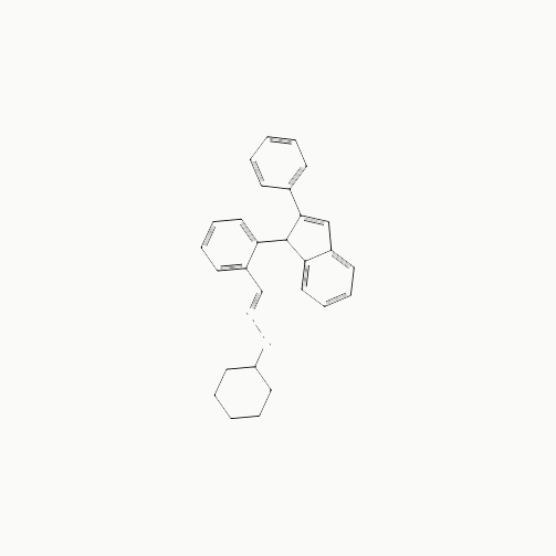 C1=C(c2ccccc2)C(c2ccccc2/C=N/NC2CCCCC2)c2ccccc21